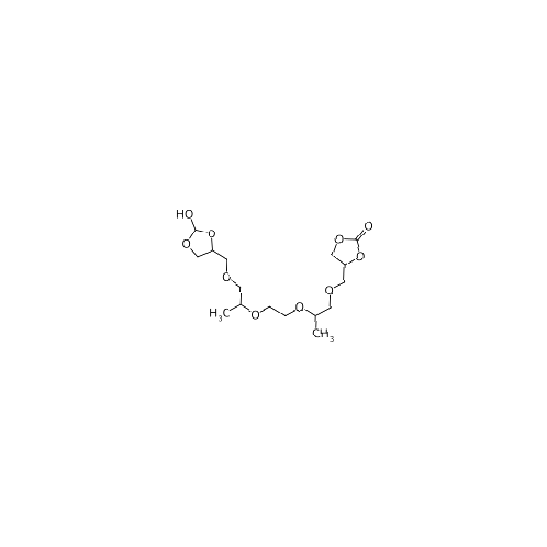 CC(COCC1COC(=O)O1)OCCOC(C)COCC1COC(O)O1